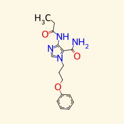 CCC(=O)Nc1ncn(CCCOc2ccccc2)c1C(N)=O